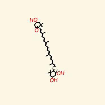 C\C(C=C=C1C(C)(C)C[C@H](O)C[C@@]1(C)O)=C/C=C/C(C)=C/C=C/C=C(C)/C=C/C=C(C)/C=C/[C@@]12O[C@]1(C)C[C@@H](O)CC2(C)C